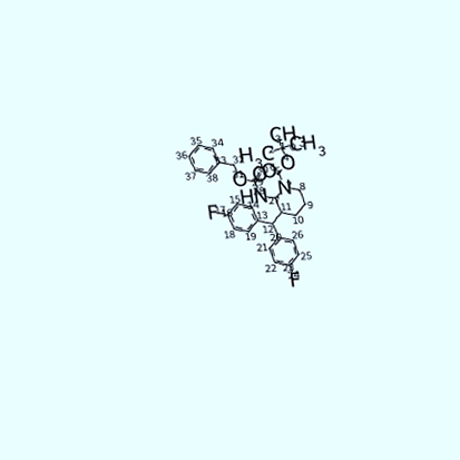 CC(C)(C)OC(=O)N1CCCC(C(c2ccc(F)cc2)c2ccc(F)cc2)C1NC(=O)OCc1ccccc1